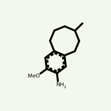 COc1cc2c(cc1N)CCC(C)CCC2